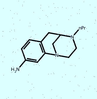 CCCN1CCN2CC1Cc1ccc(N)cc12